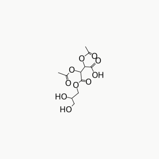 CC(=O)OC(C(=O)O)C(OC(C)=O)C(=O)OCC(O)CO